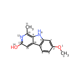 COc1ccc2c(c1)[nH]c1c(C)nc(O)cc12